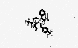 CCc1nc(C(F)(F)F)n2c1[C@H](CCc1ccc(C(F)(F)F)cc1)N([C@@H](C(=O)NC)c1ccccc1)CC2